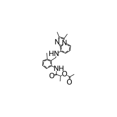 CC(=O)OC(C)C(=O)Nc1cccc(C)c1CNc1cccn2c(C)c(C)nc12